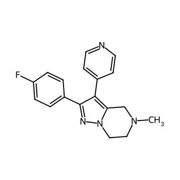 CN1CCn2nc(-c3ccc(F)cc3)c(-c3ccncc3)c2C1